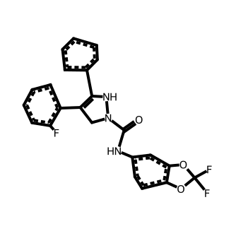 O=C(Nc1ccc2c(c1)OC(F)(F)O2)N1CC(c2ccccc2F)=C(c2ccccc2)N1